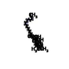 CC/C=C\C/C=C\C/C=C\CCCCCCCC(=O)OC[C@H]1O[C@@H](n2cnc3c(N(C)C)ncnc32)[C@H](O)[C@@H]1O